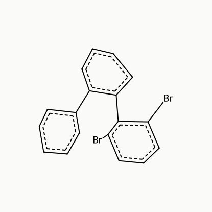 Brc1cccc(Br)c1-c1ccccc1-c1ccccc1